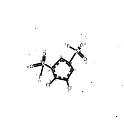 O=S(=O)(F)c1cc(Cl)c(Cl)c(S(=O)(=O)F)c1